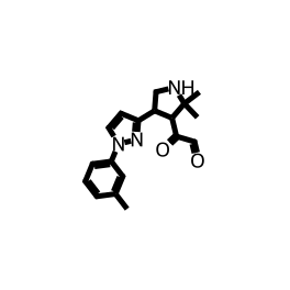 Cc1cccc(-n2ccc(C3CNC(C)(C)C3C(=O)C=O)n2)c1